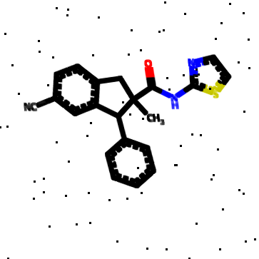 CC1(C(=O)Nc2nccs2)Cc2ccc(C#N)cc2C1c1ccccc1